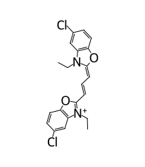 CCN1C(=CC=Cc2oc3ccc(Cl)cc3[n+]2CC)Oc2ccc(Cl)cc21